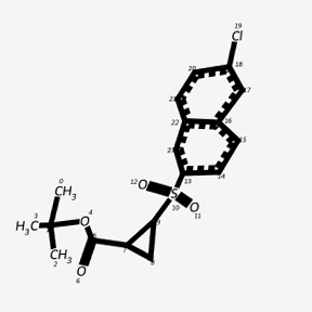 CC(C)(C)OC(=O)C1CC1S(=O)(=O)c1ccc2cc(Cl)ccc2c1